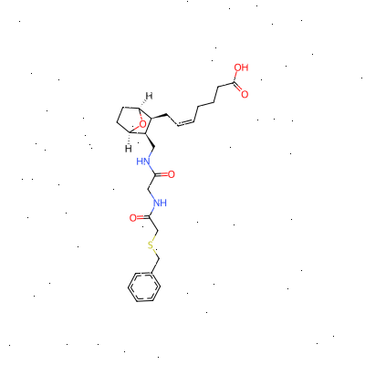 O=C(O)CCC/C=C\C[C@H]1[C@@H](CNC(=O)CNC(=O)CSCc2ccccc2)[C@H]2CC[C@@H]1O2